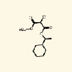 CCCCOC(=O)C(CC)C(=O)OC(C)C1CCCCC1